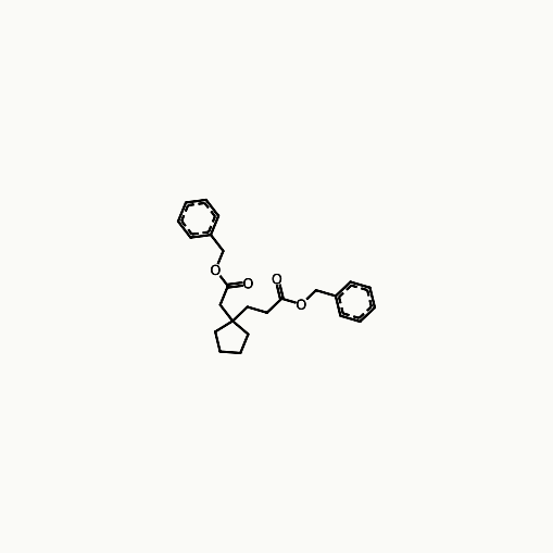 O=C(CCC1(CC(=O)OCc2ccccc2)CCCC1)OCc1ccccc1